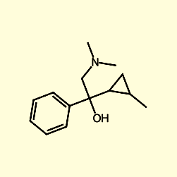 CC1CC1C(O)(CN(C)C)c1ccccc1